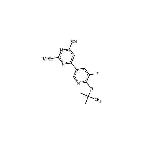 CSc1nc(C#N)cc(-c2cnc(OC(C)(C)C(F)(F)F)c(F)c2)n1